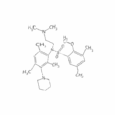 COc1c(C)cc(C)cc1S(=O)(=O)N(CCN(C)C)c1c(C)cc(C)c(N2CCCCC2)c1C